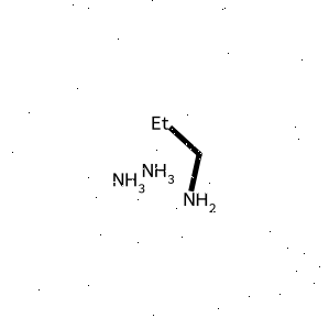 CCCN.N.N